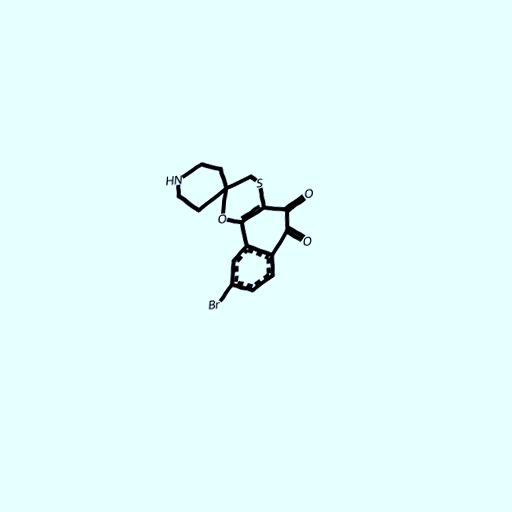 O=C1C(=O)c2ccc(Br)cc2C2=C1SCC1(CCNCC1)O2